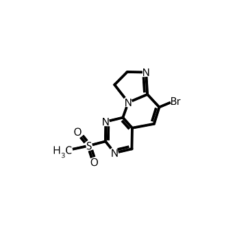 CS(=O)(=O)c1ncc2c(n1)N1CCN=C1C(Br)=C2